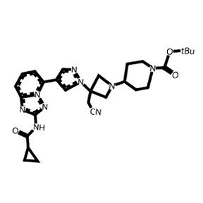 CC(C)(C)OC(=O)N1CCC(N2CC(CC#N)(n3cc(-c4cccc5nc(NC(=O)C6CC6)nn45)cn3)C2)CC1